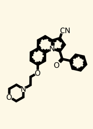 N#Cc1cc(C(=O)c2ccccc2)n2c1ccc1ccc(OCCN3CCOCC3)cc12